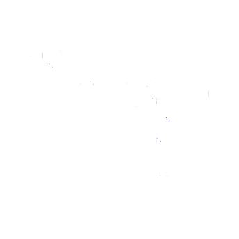 O=C(CCN(O)C(=O)O)NCc1ccc(C(=O)Nc2ccc(Cl)cc2N2CCN(CCC(F)(F)F)CC2)c(F)c1F